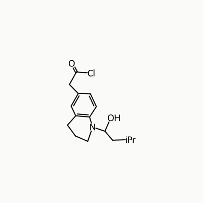 CC(C)CC(O)N1CCCc2cc(CC(=O)Cl)ccc21